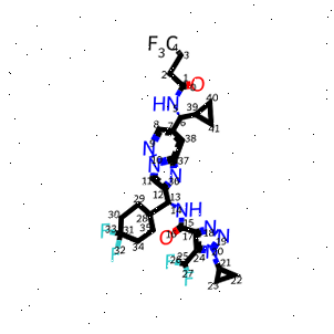 O=C(CCC(F)(F)F)N[C@@H](c1cnn2cc([C@@H](NC(=O)c3nnn(C4CC4)c3C(F)F)C3CCC(F)(F)CC3)nc2c1)C1CC1